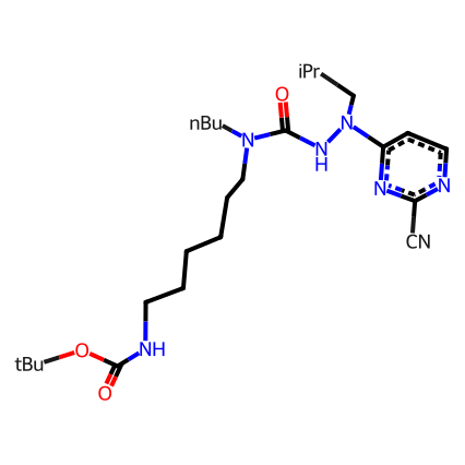 CCCCN(CCCCCCNC(=O)OC(C)(C)C)C(=O)NN(CC(C)C)c1ccnc(C#N)n1